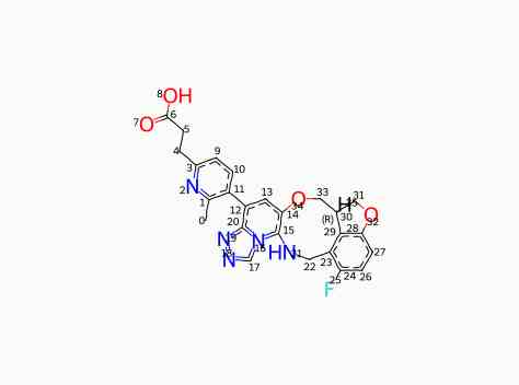 Cc1nc(CCC(=O)O)ccc1-c1cc2c(n3cnnc13)NCc1c(F)ccc3c1[C@H](CO3)CO2